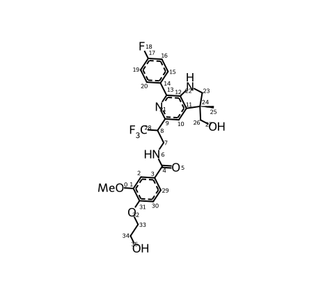 COc1cc(C(=O)NCC(c2cc3c(c(-c4ccc(F)cc4)n2)NC[C@]3(C)CO)C(F)(F)F)ccc1OCCO